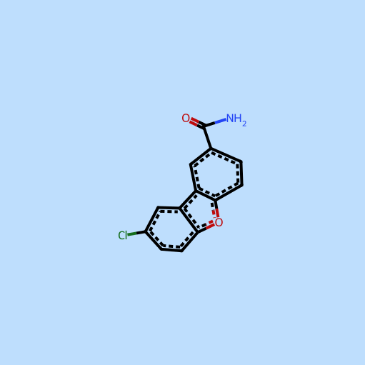 NC(=O)c1ccc2oc3ccc(Cl)cc3c2c1